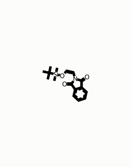 CC(C)(C)[Si](C)(C)O/C=C\N1C(=O)c2ccccc2C1=O